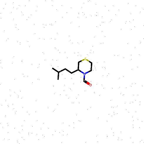 CC(C)CCC1CSCCN1C=O